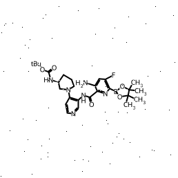 CC(C)(C)OC(=O)N[C@H]1CCCN(c2ccncc2NC(=O)c2nc(B3OC(C)(C)C(C)(C)O3)c(F)cc2N)C1